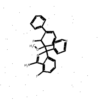 COC1(C2(c3ccncc3)N=C(N)c3c(F)cccc32)C=CC=C(c2ccccc2)C1F